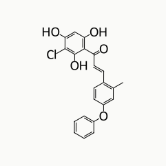 Cc1cc(Oc2ccccc2)ccc1/C=C/C(=O)c1c(O)cc(O)c(Cl)c1O